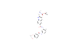 Cc1ccc(NC(=O)c2ccc3c(c2)OCCO3)cc1NC(=O)c1ccc2nc(CN(C)C(=O)OC(C)(C)C)ccc2c1